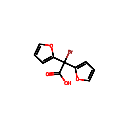 O=C(O)C(Br)(c1ccco1)c1ccco1